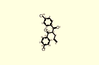 C=CCC(C(=O)c1ccc(Cl)cc1)C(=O)c1ccc(Cl)cc1